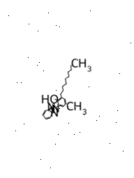 CCCCCCCCCCc1cc(C)cc(-n2nc3ccccc3n2)c1O